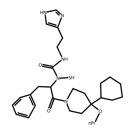 CCCOC1(C2CCCCC2)CCN(C(=O)C(Cc2ccccc2)N(S)C(=O)NCCc2c[nH]cn2)CC1